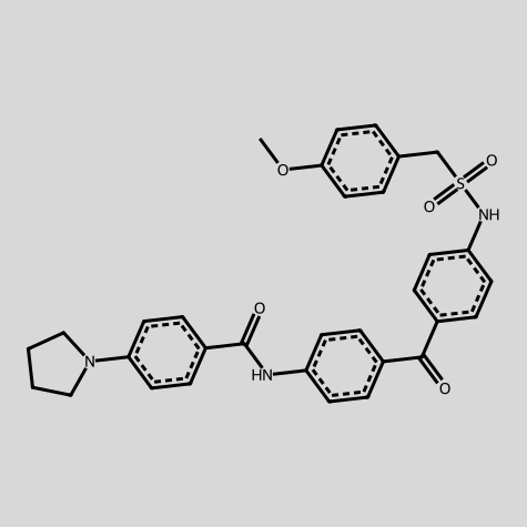 COc1ccc(CS(=O)(=O)Nc2ccc(C(=O)c3ccc(NC(=O)c4ccc(N5CCCC5)cc4)cc3)cc2)cc1